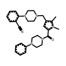 Cc1c(CN2CCN(c3ccccc3C#N)CC2)cc(C(=O)N2CCN(c3ccccc3)CC2)n1C